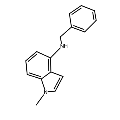 Cn1ccc2c(NCc3ccccc3)cccc21